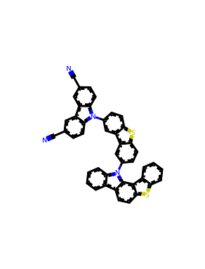 N#Cc1ccc2c(c1)c1cc(C#N)ccc1n2-c1ccc2sc3ccc(-n4c5ccccc5c5ccc6sc7ccccc7c6c54)cc3c2c1